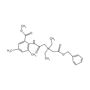 CC[N+](CC)(CC(=O)Nc1c(C)cc(C)cc1C(=O)OC)CC(=O)OCc1ccccc1